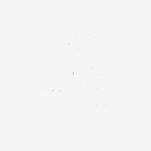 Cc1nc(NCc2c(F)cccc2F)nc(N[C@H]2CC[C@@H](C(C)(C)O)C2)c1-c1nc2c(N)nccc2s1